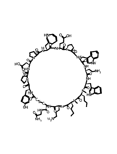 CCCC[C@H]1C(=O)N(C)[C@@H](CCCC)C(=O)N[C@@H](CCCN)C(=O)N[C@H](C(=O)NCC(N)=O)CSCC(=O)N[C@@H](Cc2ccc(O)cc2)C(=O)N2CCC[C@H]2C(=O)N[C@@H](CC(=O)O)C(=O)N2CCC[C@H]2C(=O)N[C@@H](CC2=CNC=C=CC2)C(=O)N[C@@H](CCC(=O)O)C(=O)N2CCC[C@H]2C(=O)N[C@@H](Cc2c[nH]c3ccccc23)C(=O)N[C@@H](CCN)C(=O)N[C@@H](Cc2c[nH]c3ccccc23)C(=O)N1C